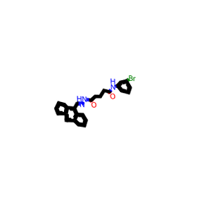 O=C(CCCC(=O)Nc1cccc(Br)c1)N/N=C/c1c2ccccc2cc2ccccc12